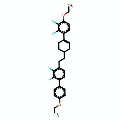 CCOc1ccc(-c2ccc(CCC3CC=C(c4ccc(OCC)c(F)c4F)CC3)c(F)c2F)cc1